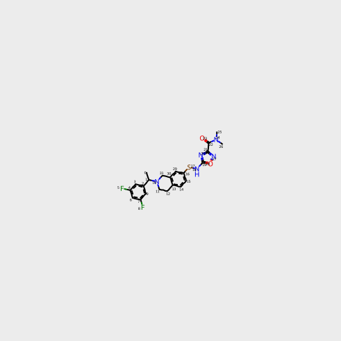 CC(c1cc(F)cc(F)c1)N1CCc2ccc(SNc3nc(C(=O)N(C)C)no3)cc2C1